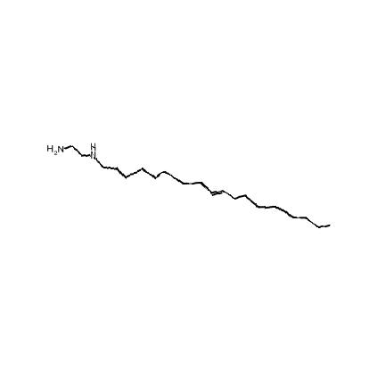 CCCCCCCCC=CCCCCCCCCNCCN